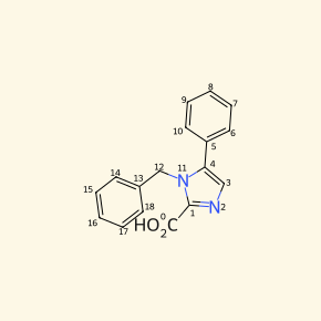 O=C(O)c1ncc(-c2ccccc2)n1Cc1ccccc1